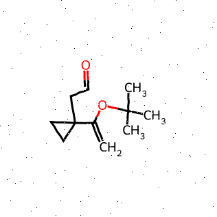 C=C(OC(C)(C)C)C1(CC=O)CC1